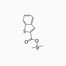 C[Si](C)(C)OC(=O)c1cc2ccccc2s1